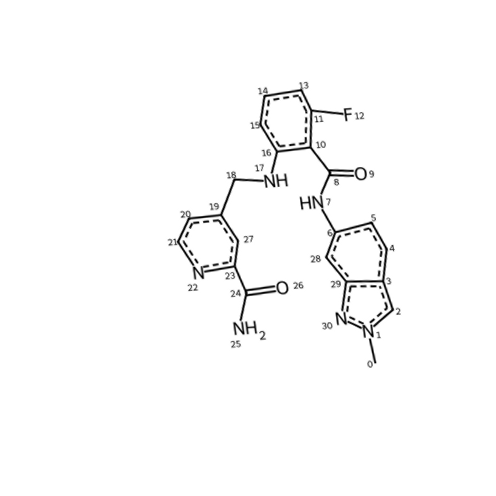 Cn1cc2ccc(NC(=O)c3c(F)cccc3NCc3ccnc(C(N)=O)c3)cc2n1